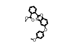 COC(=O)c1ccccc1-c1nc2cc(Oc3ccc(OC)cc3)ccc2o1